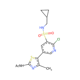 CC(=O)Nc1nc(C)c(-c2cnc(Cl)c(S(=O)(=O)NCC3CC3)c2)s1